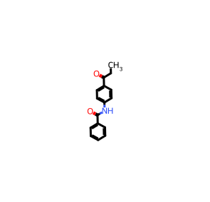 CCC(=O)c1ccc(NC(=O)c2ccccc2)cc1